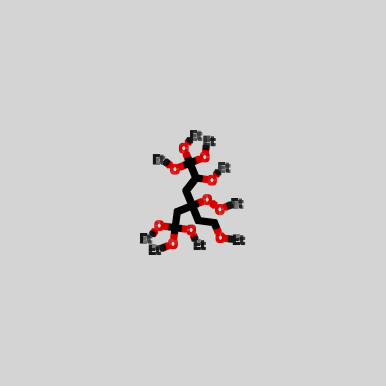 CCOCCC(CC(OCC)C(OCC)(OCC)OCC)(CC(OCC)(OCC)OCC)OOCC